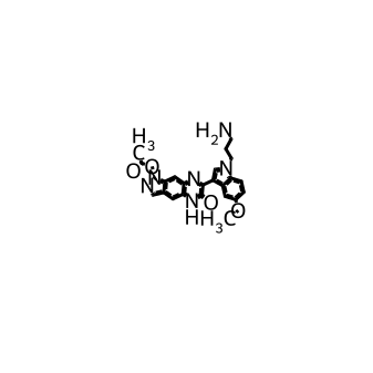 COc1ccc2c(c1)c(-c1nc3cc4c(cnn4OC(C)=O)cc3[nH]c1=O)cn2CCCN